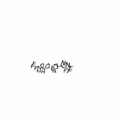 O=C(NCC(F)(F)F)Nc1cccc(-c2cnc3cc(-c4cc(C(F)(F)F)ncn4)ccn23)c1